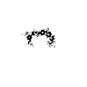 CCCc1ccc(OC)c(-c2csc(NC(=O)c3ccc(C(=O)N4CCC(N5CC[C@@H](NC(C)=O)C5)CC4)cc3)n2)c1